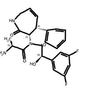 C[C@H](N)C(=O)N(C(=O)[C@H](O)c1cc(F)cc(F)c1)[C@@H]1C(=O)NCC=C[C@@H]1c1ccccc1